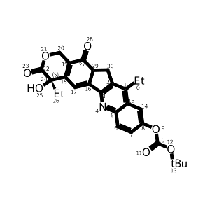 CCc1c2c(nc3ccc(OC(=O)OC(C)(C)C)cc13)C1=CC3=C(COC(=O)[C@]3(O)CC)C(=O)C1C2